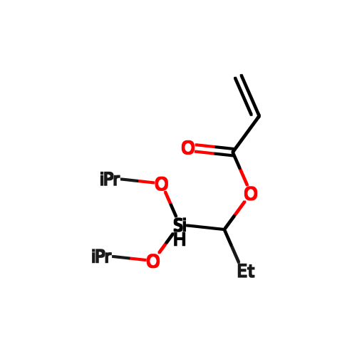 C=CC(=O)OC(CC)[SiH](OC(C)C)OC(C)C